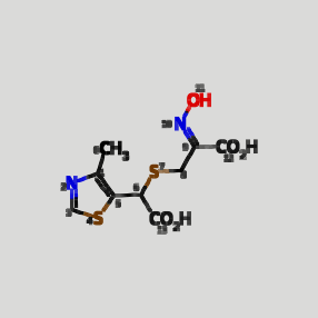 Cc1ncsc1C(SCC(=NO)C(=O)O)C(=O)O